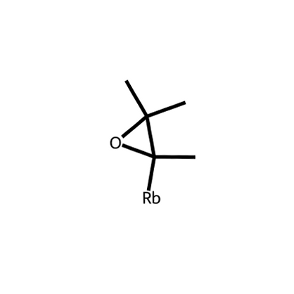 CC1(C)O[C]1(C)[Rb]